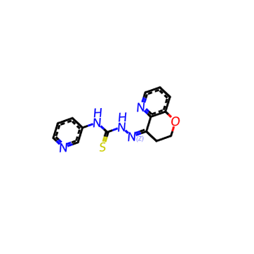 S=C(N/N=C1/CCOc2cccnc21)Nc1cccnc1